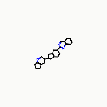 c1ccc2nc(-c3ccc4c(c3)CC(c3cnc5c(c3)CCC5)C4)ncc2c1